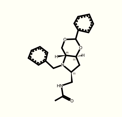 CC(=O)NC[C@@H]1C[C@@H]2OC(c3ccccc3)OC[C@H]2N1Cc1ccccc1